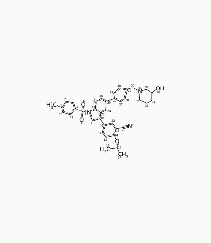 Cc1ccc(S(=O)(=O)n2cc(-c3ccc(OC(C)C)c(C#N)c3)c3cc(-c4ccc(CN5CCCC(O)C5)cc4)cnc32)cc1